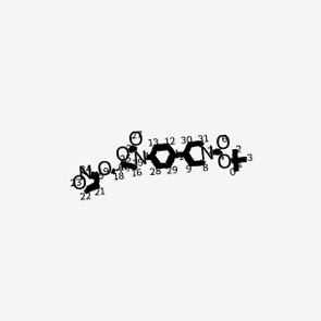 CC(C)(C)OC(=O)N1CC=C(c2ccc(N3C[C@H](COc4ccon4)OC3=O)cc2)CC1